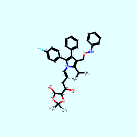 CC(C)c1c(CONc2ccccc2)c(-c2ccccc2)c(-c2ccc(F)cc2)n1/C=C/CC(O)C1OC(C)(C)OC1O